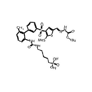 CSc1sc(C=NNC(=O)OC(C)(C)C)cc1S(=O)(=O)c1cccc(-c2c(C)cccc2NC(=O)NCCCCCP(=O)(O)O)c1